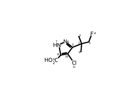 CC(C)(CF)c1n[nH]c(C(=O)O)c1Cl